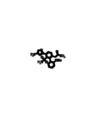 COc1ccccc1-c1c(CC(N)=O)ccc(-n2cc(C(F)(F)F)cn2)c1S(N)(=O)=O